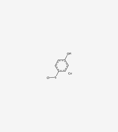 Oc1ccc(SCl)cc1.[Cu]